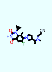 Cc1c(N2CCC(C(C)N(C)CCC#N)C2)c(F)cc2c(=O)[nH]c(=O)n(C3CC3)c12